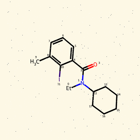 CCN(C(=O)c1cccc(C)c1I)C1CCCCC1